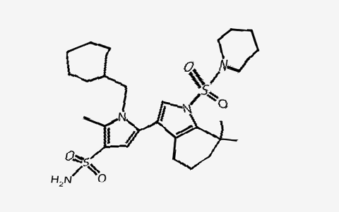 Cc1c(S(N)(=O)=O)cc(-c2cn(S(=O)(=O)N3CCCCC3)c3c2CCCC3(C)C)n1CC1CCCCC1